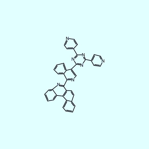 c1ccc2c(c1)ccc1c(-c3ncc(-c4nc(-c5ccncc5)nc(-c5ccncc5)n4)c4ccccc34)nc3ccccc3c12